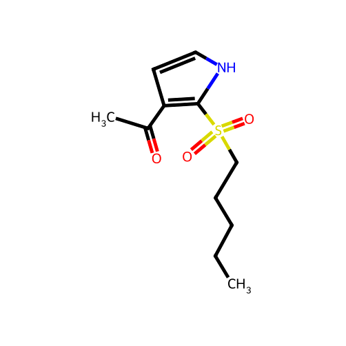 CCCCCS(=O)(=O)c1[nH]ccc1C(C)=O